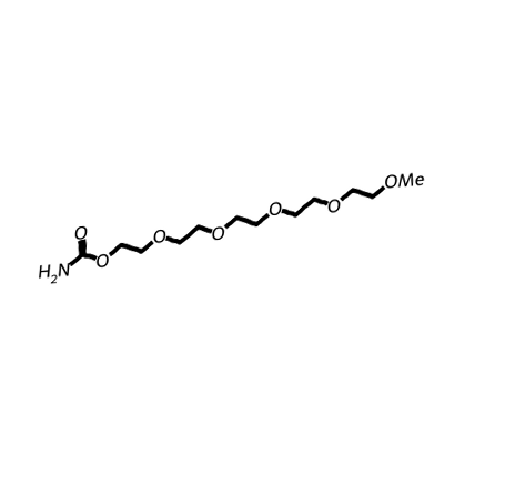 COCCOCCOCCOCCOCCOC(N)=O